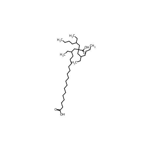 CCCCC(CC)CC(CC(CC)CCCC)(CC(CC)CCCCCCCCCCCCCCCC(=O)O)C(=O)O